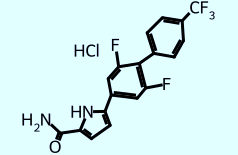 Cl.NC(=O)c1ccc(-c2cc(F)c(-c3ccc(C(F)(F)F)cc3)c(F)c2)[nH]1